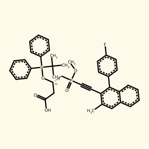 COP(=O)(C#Cc1c(C)cc2ccccc2c1-c1ccc(F)cc1)C[C@H](CC(=O)O)O[Si](c1ccccc1)(c1ccccc1)C(C)(C)C